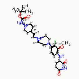 COc1c(NC2CCC(=O)NC2=O)ccc(N2CCN(CCC3CCN(NC(=O)OC(C)(C)C)CC3)CC2)c1F